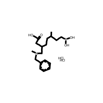 CC(CCB(O)O)CCC(CC(=O)O)CN(C)Cc1ccccc1.Cl.Cl